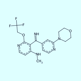 CNc1ccnc(OCC(F)(F)F)c1C(=N)c1ccnc(N2CCOCC2)c1